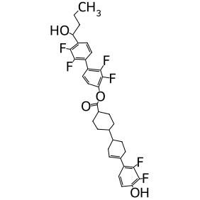 CCCC(O)c1ccc(-c2ccc(OC(=O)C3CCC(C4CC=C(c5ccc(O)c(F)c5F)CC4)CC3)c(F)c2F)c(F)c1F